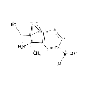 C[C@@](N)(c1cc([N+](=O)[O-])ccc1F)C1(CO)CC1